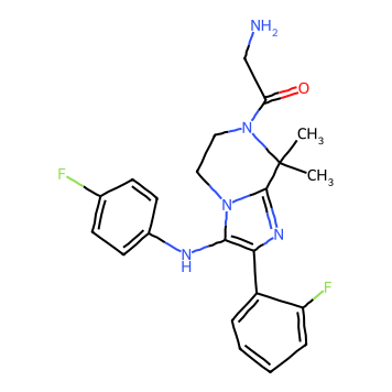 CC1(C)c2nc(-c3ccccc3F)c(Nc3ccc(F)cc3)n2CCN1C(=O)CN